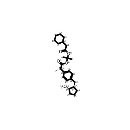 C[C@H](C(=O)OC(C)(C)OC(=O)CC1CCCCC1)c1ccc(C[C@H]2CCC[C@@H]2O)cc1